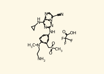 CN(CCN)c1ccc(Nc2nc(NC3CC3)c3ncc(C#N)n3n2)cc1CS(C)(=O)=O.O=C(O)C(F)(F)F